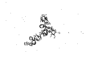 Cc1ccc(-n2nc(N3CCN(C(=O)OC(C)(C)C)CC3)cc2NC(=O)c2cnn3cccnc23)nc1